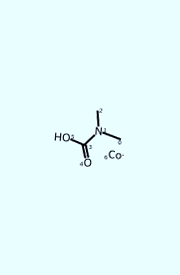 CN(C)C(=O)O.[Co]